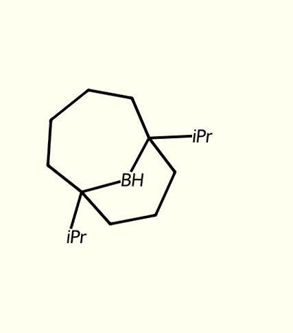 CC(C)C12BC(C(C)C)(CCCC1)CCC2